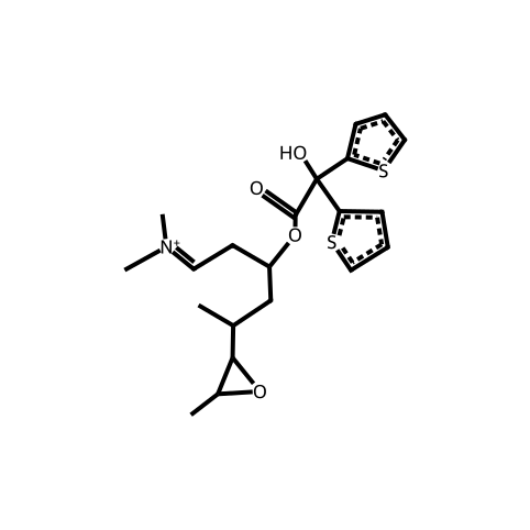 CC(CC(CC=[N+](C)C)OC(=O)C(O)(c1cccs1)c1cccs1)C1OC1C